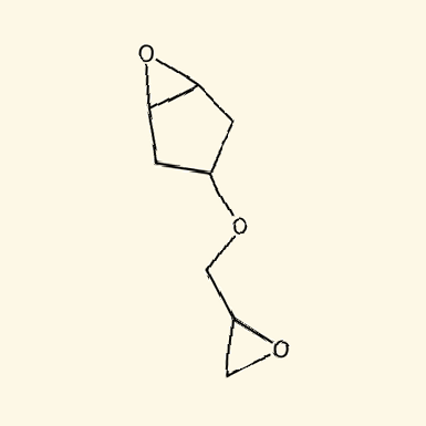 C1OC1COC1CC2OC2C1